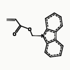 C=CC(=O)OCn1c2ccccc2c2ccccc21